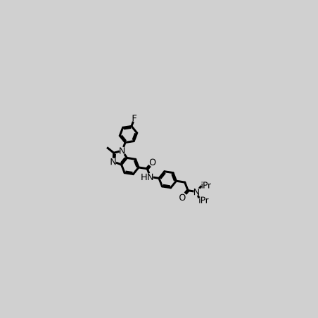 Cc1nc2ccc(C(=O)Nc3ccc(CC(=O)N(C(C)C)C(C)C)cc3)cc2n1-c1ccc(F)cc1